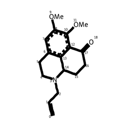 C=CCN1CCc2cc(OC)c(OC)c3c2C1CCC3=O